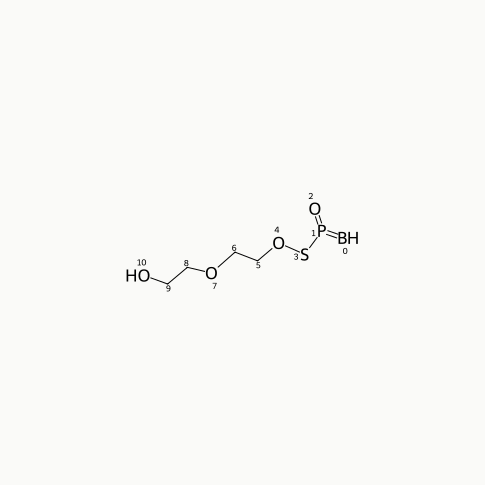 B=P(=O)SOCCOCCO